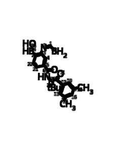 B/C=N\c1cc(C(=O)NN(C(=O)c2cc(C)cc(C)c2)C(C)(C)C)ccc1BO